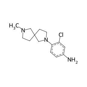 CN1CCC2(CCN(c3ccc(N)cc3Cl)C2)C1